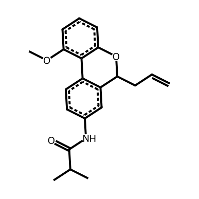 C=CCC1Oc2cccc(OC)c2-c2ccc(NC(=O)C(C)C)cc21